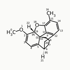 COC1=CC=C2[C@@H]3CCC[C@@]24c2c(ccc(C)c2O[C@@H]14)C3